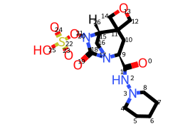 O=C(NN1CCCCC1)[C@@H]1CC2(COC2)[C@@H]2CN1C(=O)N2OS(=O)(=O)O